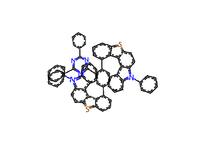 c1ccc(-c2nc(-c3ccccc3)nc(-c3cc(-c4cccc5sc6ccc7c(c8ccccc8n7-c7ccccc7)c6c45)ccc3-c3cccc4sc5ccc6c(c7ccccc7n6-c6ccccc6)c5c34)n2)cc1